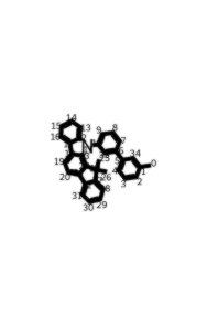 Cc1cccc(-c2cccc(-n3c4ccccc4c4ccc5c(c43)C(C)(C)c3ccccc3-5)c2)c1